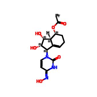 CC(C)C(=O)O[C@@H]1CCC=C2[C@H]1[C@@H](O)[C@@H](O)[C@@H]2n1ccc(=NO)[nH]c1=O